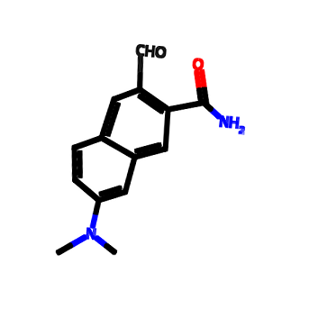 CN(C)c1ccc2cc(C=O)c(C(N)=O)cc2c1